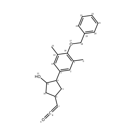 Cc1cc(C2CC(C=C=O)CC2O)cc(C)c1OCc1ccccc1